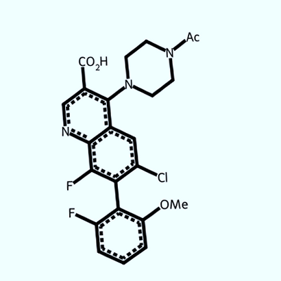 COc1cccc(F)c1-c1c(Cl)cc2c(N3CCN(C(C)=O)CC3)c(C(=O)O)cnc2c1F